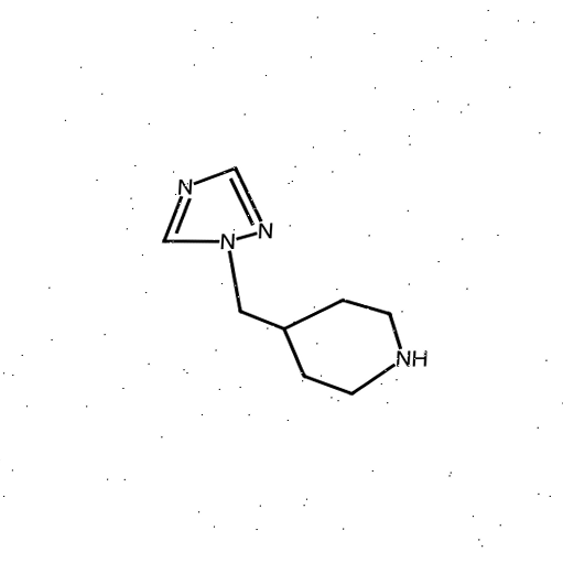 c1ncn(CC2CCNCC2)n1